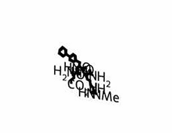 CNC(=N)NCCCC(NC(=O)C(Cc1ccc(-c2ccccc2)cc1)NC(=O)C(N)CCC(=O)O)C(N)=O